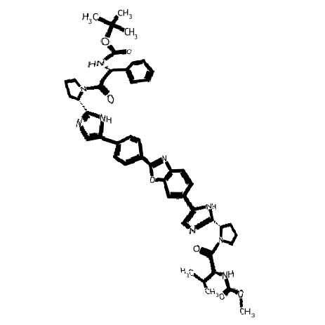 COC(=O)N[C@H](C(=O)N1CCC[C@H]1c1ncc(-c2ccc3nc(-c4ccc(-c5cnc([C@@H]6CCCN6C(=O)[C@H](NC(=O)OC(C)(C)C)c6ccccc6)[nH]5)cc4)oc3c2)[nH]1)C(C)C